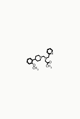 COc1ccccc1C1CCN(CN(CC(C)=O)Cc2ccccn2)CC1